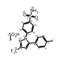 CS(=O)(=O)O.Cc1ccc(-c2cc(C(F)(F)F)nn2-c2ccc(S(N)(=O)=O)cc2)cc1